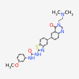 COc1cccc(NC(=O)Nc2nc3cc(-c4ccc5ncn(CCN(C)C)c(=O)c5c4)ccc3s2)c1